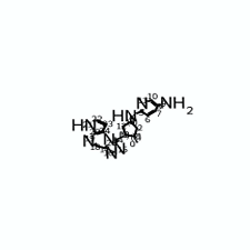 C[C@@H]1C[C@H](Nc2ccc(N)cn2)C[C@@H]1c1nnc2cnc3[nH]ccc3n12